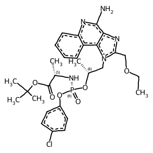 CCOCc1nc2c(N)nc3ccccc3c2n1C[C@@H](C)O[P@](=O)(N[C@@H](C)C(=O)OC(C)(C)C)Oc1ccc(Cl)cc1